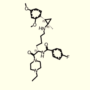 CCN1CCN(C(=O)[C@H](CCCCN[C@]2(C)C[C@H]2c2ccc(OC)cc2OC)NC(=O)c2ccc(F)cc2)CC1